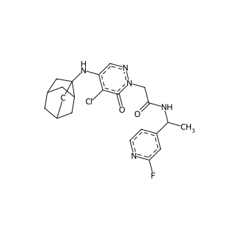 CC(NC(=O)Cn1ncc(NC23CC4CC(CC2C4)C3)c(Cl)c1=O)c1ccnc(F)c1